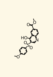 COC(=O)c1ccc2ncc(S(=O)(=O)c3ccc(OC)cc3)c(O)c2c1